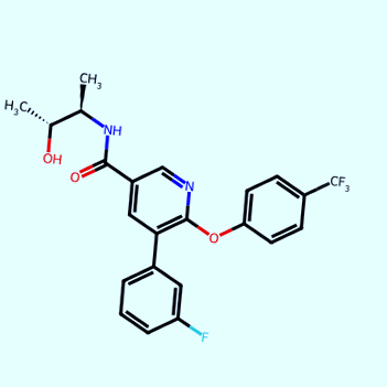 C[C@@H](O)[C@@H](C)NC(=O)c1cnc(Oc2ccc(C(F)(F)F)cc2)c(-c2cccc(F)c2)c1